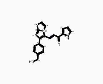 O=C(/C=C/c1c(-c2ccc(CO)cc2)nc2sccn12)c1ccc[nH]1